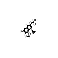 O=C(O)Oc1cn(C2CC2)c2c(OC(F)F)c(F)c(F)cc2c1=O